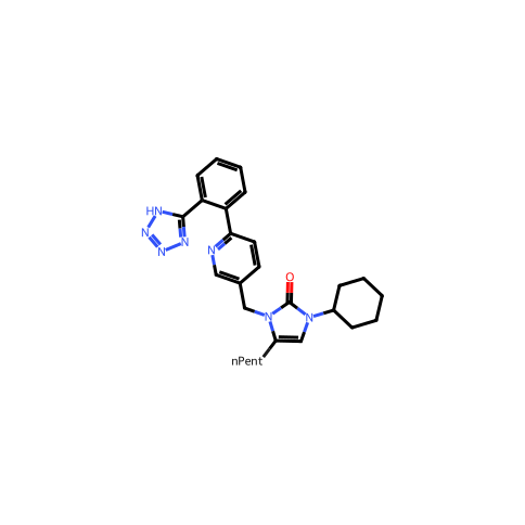 CCCCCc1cn(C2CCCCC2)c(=O)n1Cc1ccc(-c2ccccc2-c2nnn[nH]2)nc1